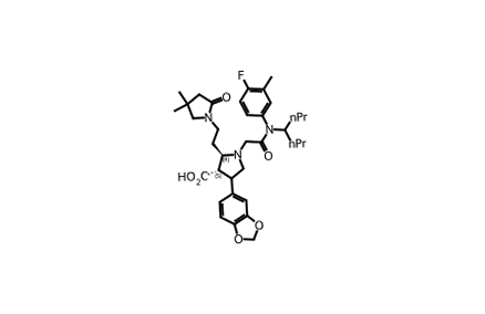 CCCC(CCC)N(C(=O)CN1CC(c2ccc3c(c2)OCO3)[C@H](C(=O)O)[C@H]1CCN1CC(C)(C)CC1=O)c1ccc(F)c(C)c1